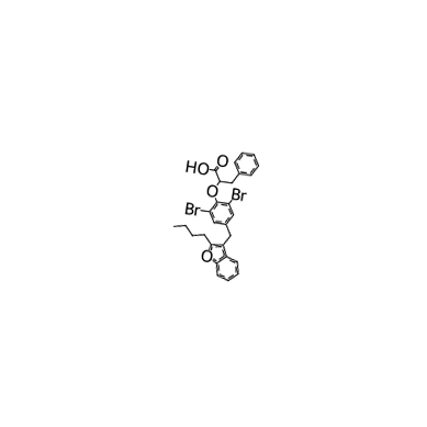 CCCCc1oc2ccccc2c1Cc1cc(Br)c(OC(Cc2ccccc2)C(=O)O)c(Br)c1